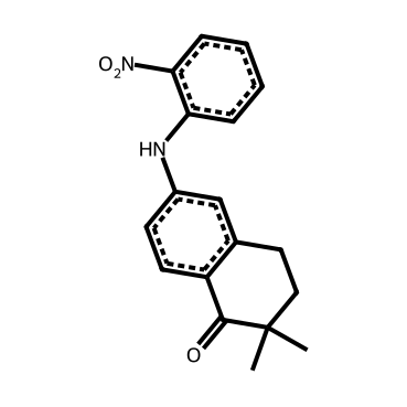 CC1(C)CCc2cc(Nc3ccccc3[N+](=O)[O-])ccc2C1=O